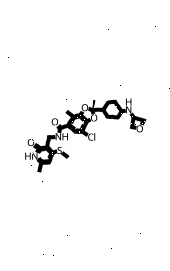 CSc1cc(C)[nH]c(=O)c1CNC(=O)c1cc(Cl)c2c(c1C)O[C@](C)(C1CCC(NC3COC3)CC1)O2